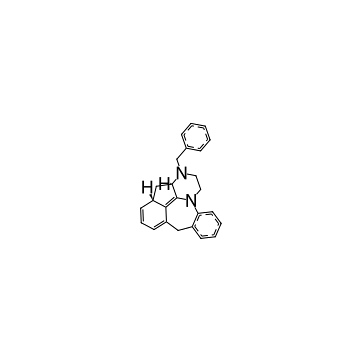 C1=C[C@@H]2C[C@@H]3C4=C2C(=C1)Cc1ccccc1N4CCN3Cc1ccccc1